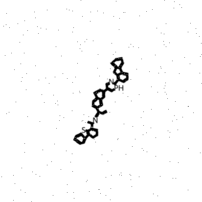 C=C/C(=C\N=C(/C)C1=CCCc2c1sc1ccccc21)c1ccc2ccc(C3=CPC(c4cccc5c4Cc4ccccc4-5)N=C3)cc2c1